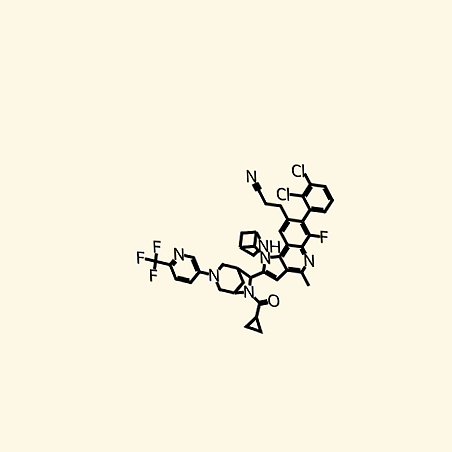 Cc1nc2c(F)c(-c3cccc(Cl)c3Cl)c(CCC#N)cc2c2c1cc(C1C3CC(CN(c4ccc(C(F)(F)F)nc4)C3)N1C(=O)C1CC1)n2C1C2CNC1C2